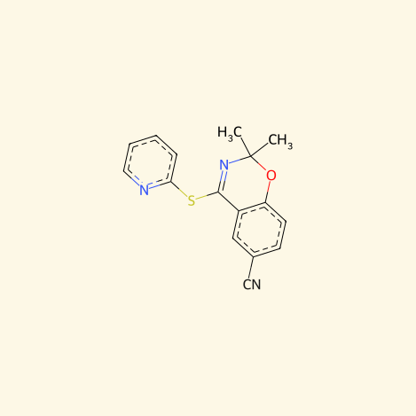 CC1(C)N=C(Sc2ccccn2)c2cc(C#N)ccc2O1